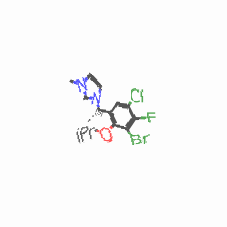 CC(C)Oc1c([C@H](C)N2C=CN(C)C2)cc(Cl)c(F)c1Br